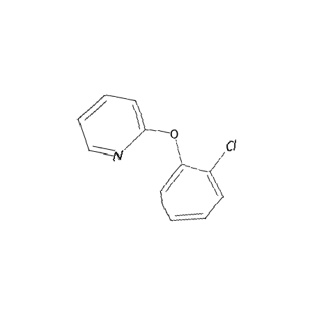 Clc1ccccc1Oc1ccccn1